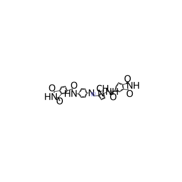 Cn1c(/C=N/c2ccc(NC(=O)c3ccc4c(c3)C(=O)NC4=O)cc2)ccc1NC(=O)c1ccc2c(c1)C(=O)NC2=O